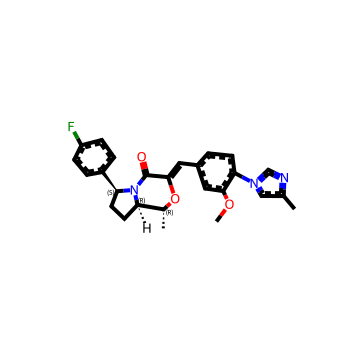 COc1cc(C=C2O[C@H](C)[C@H]3CC[C@@H](c4ccc(F)cc4)N3C2=O)ccc1-n1cnc(C)c1